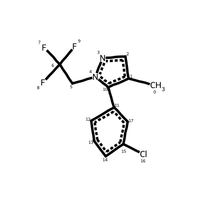 Cc1cnn(CC(F)(F)F)c1-c1cccc(Cl)c1